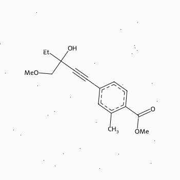 CCC(O)(C#Cc1ccc(C(=O)OC)c(C)c1)COC